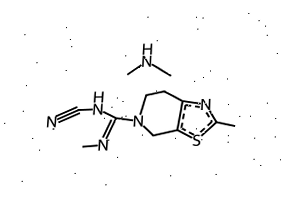 CN=C(NC#N)N1CCc2nc(C)sc2C1.CNC